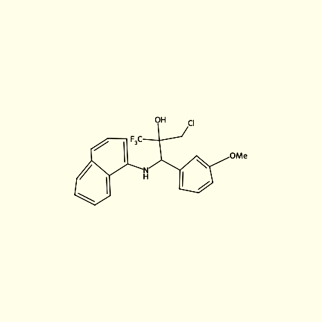 COc1cccc(C(Nc2cccc3ccccc23)C(O)(CCl)C(F)(F)F)c1